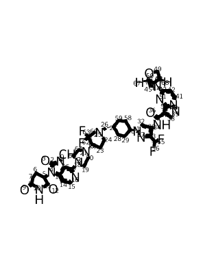 Cn1c(=O)n(C2CCC(=O)NC2=O)c2ccnc(N3CCN([C@H]4CCN(C[C@H]5CC[C@H](n6cc(NC(=O)c7cnn8ccc(N9C[C@H]%10C[C@@H]9CO%10)nc78)c(C(F)F)n6)CC5)CC4(F)F)CC3)c21